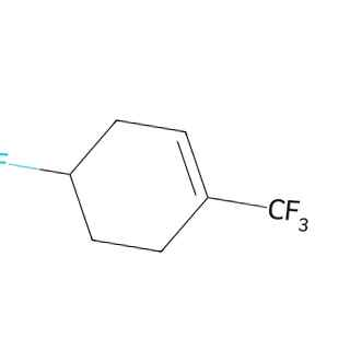 FC1CC=C(C(F)(F)F)CC1